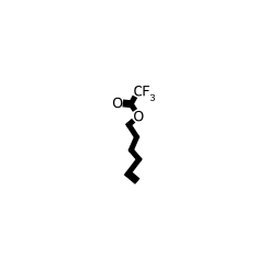 C=CCCCCOC(=O)C(F)(F)F